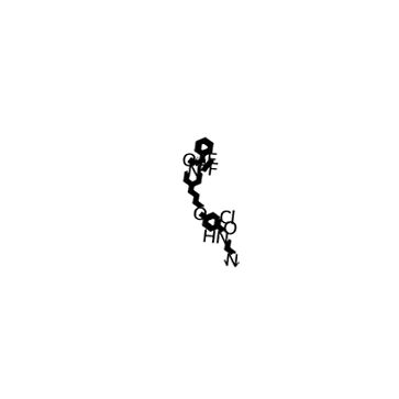 CN(C)CCCNC(=O)c1ccc(OCCCCC2CCN(C(=O)[C@H](c3ccccc3)C(F)(F)F)CC2)cc1Cl